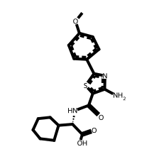 COc1ccc(-c2nc(N)c(C(=O)N[C@H](C(=O)O)C3CCCCC3)s2)cc1